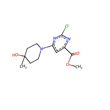 COC(=O)c1cc(N2CCC(C)(O)CC2)nc(Cl)n1